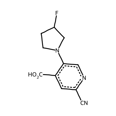 N#Cc1cc(C(=O)O)c(N2CCC(F)C2)cn1